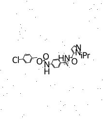 CC(C)n1nccc1C(=O)N[C@@H](C)c1ccc(NC(=O)OCc2ccc(Cl)cc2)cc1